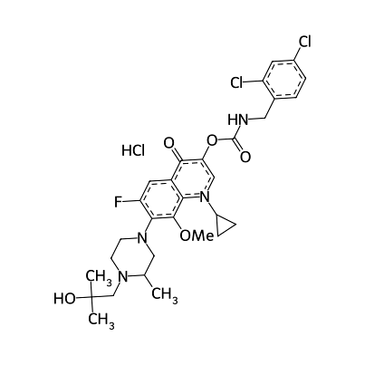 COc1c(N2CCN(CC(C)(C)O)C(C)C2)c(F)cc2c(=O)c(OC(=O)NCc3ccc(Cl)cc3Cl)cn(C3CC3)c12.Cl